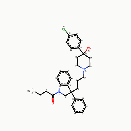 O=C(O)CCC(=O)NCC(CCCN1CCC(O)(c2ccc(Cl)cc2)CC1)(c1ccccc1)c1ccccc1